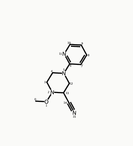 CON1CCN(c2[c]cccn2)CC1C#N